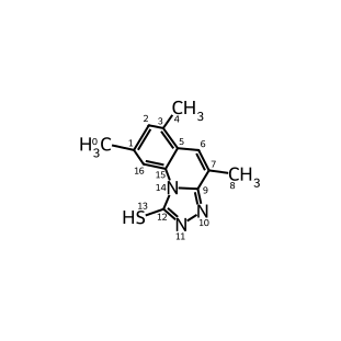 Cc1cc(C)c2cc(C)c3nnc(S)n3c2c1